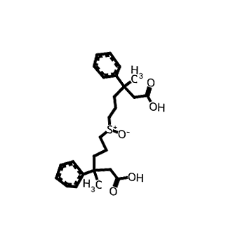 CC(CCC[S+]([O-])CCCC(C)(CC(=O)O)c1ccccc1)(CC(=O)O)c1ccccc1